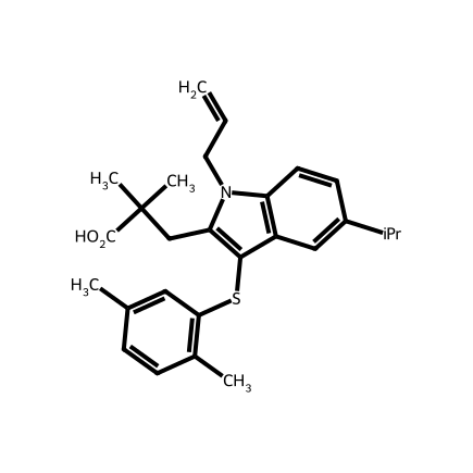 C=CCn1c(CC(C)(C)C(=O)O)c(Sc2cc(C)ccc2C)c2cc(C(C)C)ccc21